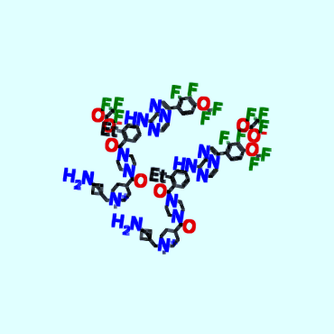 CCc1cc(Nc2nccn3c(-c4ccc(OC(F)F)c(F)c4F)cnc23)ccc1C(=O)N1CCN(C(=O)C2CC[N+](C)(CC34CC(N)(C3)C4)CC2)CC1.CCc1cc(Nc2nccn3c(-c4ccc(OC(F)F)c(F)c4F)cnc23)ccc1C(=O)N1CCN(C(=O)C2CC[N+](C)(CC34CC(N)(C3)C4)CC2)CC1.O=C([O-])C(F)(F)F.O=C([O-])C(F)(F)F